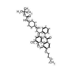 COCCOc1ccc(C(N)=O)c(-c2cc(C(CNC3CCC(NC(=O)OC(C)(C)C)CC3)c3ccccc3)cc(Cl)c2Cl)c1F